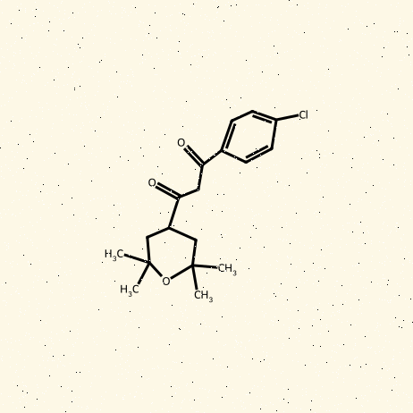 CC1(C)CC(C(=O)CC(=O)c2ccc(Cl)cc2)CC(C)(C)O1